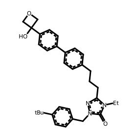 CCn1c(CCCc2ccc(-c3ccc(C4(O)COC4)cc3)cc2)nn(Cc2ccc(C(C)(C)C)cc2)c1=O